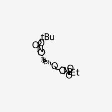 CCS(=O)(=O)N1CCC(COCC[C@@H]2C[C@@H]2C2CCN(C(=O)OCC(C)(C)C)CC2)CC1